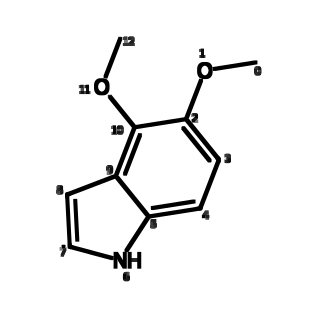 COc1ccc2[nH][c]cc2c1OC